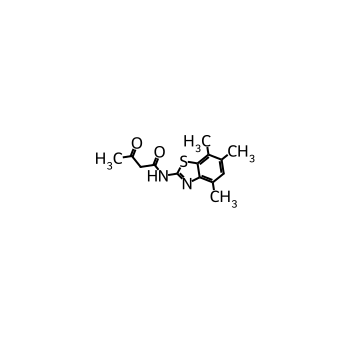 CC(=O)CC(=O)Nc1nc2c(C)cc(C)c(C)c2s1